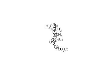 CCCC[C@H]1CN(CC2CCN(C(=O)OCC)CC2)C(=O)OC12CCN(C1(C)CCN(C(=O)c3c(C)ncnc3C)CC1)CC2